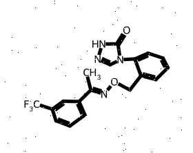 CC(=NOCc1ccccc1-n1cn[nH]c1=O)c1cccc(C(F)(F)F)c1